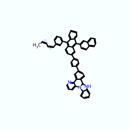 C/C=C\C=C/c1cccc(-c2c3ccccc3c(-c3ccc4ccccc4c3)c3cc(-c4ccc(-c5ccc6c(c5)-c5ncccc5N5c7ccccc7NC65)cc4)ccc23)c1